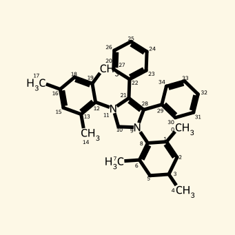 CC1=CC(C)CC(C)=C1N1CN(c2c(C)cc(C)cc2C)C(c2ccccc2)=C1c1ccccc1